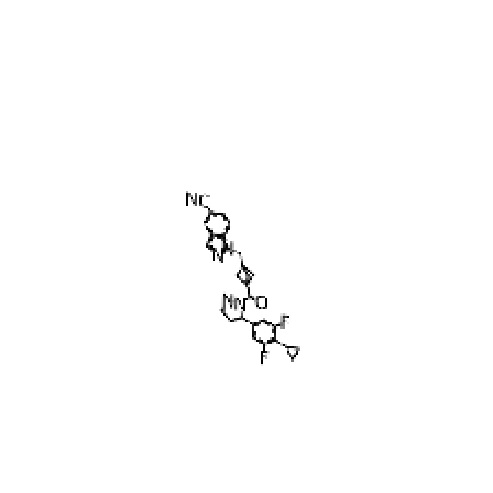 N#Cc1ccc2c(cnn2CC23CC(C(=O)N4N=CCC4c4cc(F)c(C5CC5)c(F)c4)(C2)C3)c1